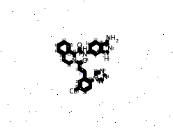 Nc1n[nH]c2cc(NC(=O)[C@@H]3c4ccccc4CCN3C(=O)/C=C/c3cc(Cl)ccc3-n3cnnn3)ccc12